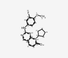 COc1ccc(Nc2ncc3ccc(=O)n(C4CCCC4)c3n2)cc1F